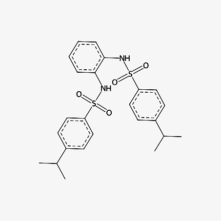 CC(C)c1ccc(S(=O)(=O)Nc2ccccc2NS(=O)(=O)c2ccc(C(C)C)cc2)cc1